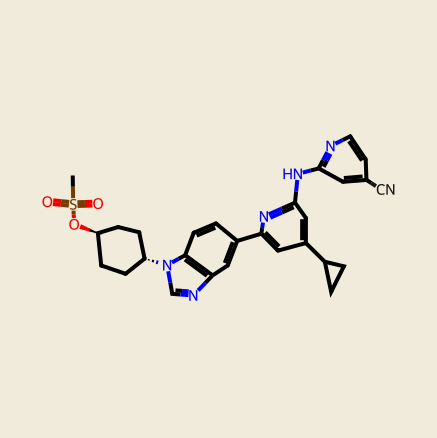 CS(=O)(=O)O[C@H]1CC[C@H](n2cnc3cc(-c4cc(C5CC5)cc(Nc5cc(C#N)ccn5)n4)ccc32)CC1